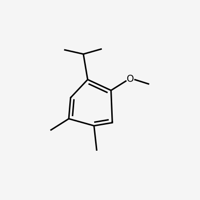 COc1cc(C)c(C)cc1C(C)C